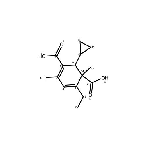 CCC1=CC(I)=C(C(=O)O)C(C2CC2)C1(C)C(=O)O